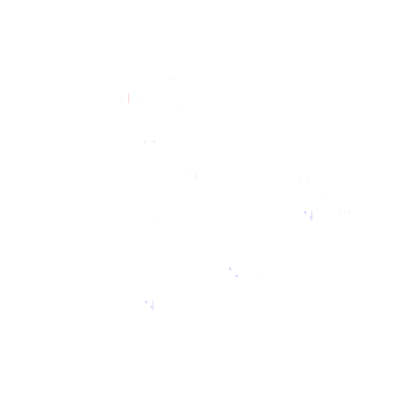 O=C(C1CCN(S(=O)(=O)c2cccs2)CC1)N(CCCN1CCC(Cc2ccc(F)cc2)CC1)c1ccc(Cl)c(Cl)c1.O=C(O)C(F)(F)F